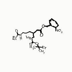 CCC(=O)NCCCC(CNC(=O)OC(C)(C)CC)CC(=O)OCc1ccccc1[N+](=O)[O-]